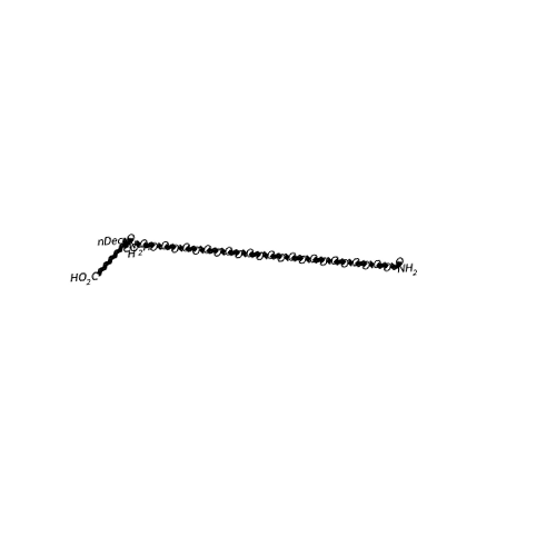 CCCCCCCCCCCC(CCCCCCCCCCC(=O)O)(C(=O)O)C(=O)NCCOCCOCCOCCOCCOCCOCCOCCOCCOCCOCCOCCOCCOCCOCCOCCOCCOCCOCCOCCOCCOCCOCCOCCOCCC(N)=O